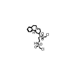 O=S(=O)(CCl)NCCN([C@@H]1CCN2CCc3ccccc3[C@@H]2C1)S(=O)(=O)CCl